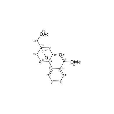 COC(=O)c1ccccc1C12CCC(COC(C)=O)(CC1)CO2